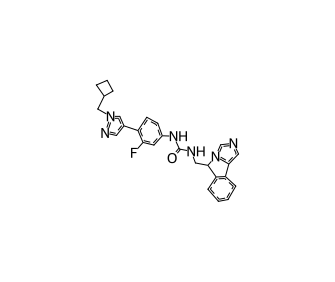 O=C(NCC1c2ccccc2-c2cncn21)Nc1ccc(-c2cnn(CC3CCC3)c2)c(F)c1